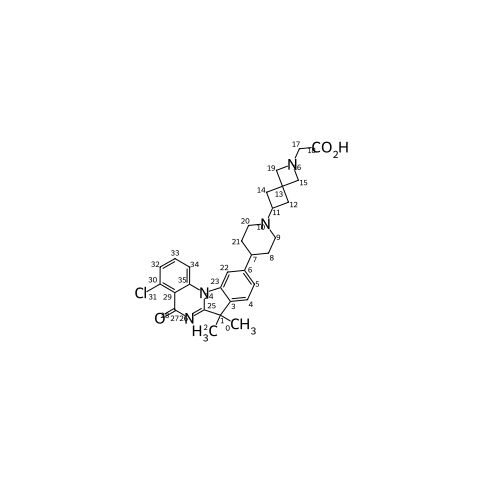 CC1(C)c2ccc(C3CCN(C4CC5(C4)CN(CC(=O)O)C5)CC3)cc2-n2c1nc(=O)c1c(Cl)cccc12